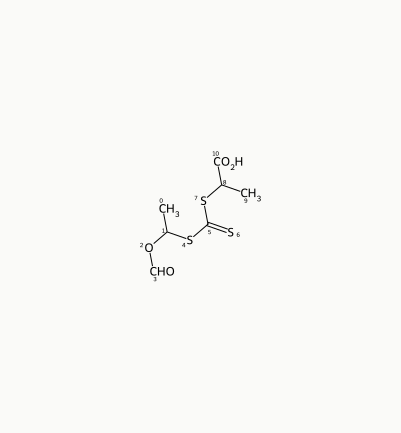 CC(OC=O)SC(=S)SC(C)C(=O)O